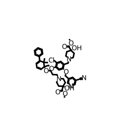 COC(=O)C1(O)CCN(CCCOC2(COc3cc(OCc4cncc(C#N)c4)c(CN4CCC(O)(C(=O)OC)CC4)cc3Cl)C=CC=C(c3ccccc3)C2(C)C)CC1